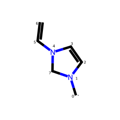 [CH2]N1C=CN(C=C)C1